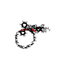 COc1ccc(C(C)C)cc1CN[C@H]1[C@H]2CCCCCCCCCCCCCCCCCCCCCN(C[C@@H]2C(=O)NCCC(N)=O)[C@H]1C(c1ccccc1)c1ccccc1